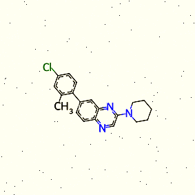 Cc1cc(Cl)ccc1-c1ccc2ncc(N3CCCCC3)nc2c1